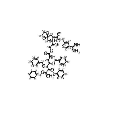 CC(OCc1ccccc1)C(OCc1ccccc1)C(OCc1ccccc1)C(CNC(=O)OCC(=O)N1CC2(C[C@H]1C(=O)NCc1cc(C(=N)N)cs1)OCCO2)OCc1ccccc1